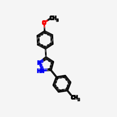 COc1ccc(-c2cc(-c3ccc(C)cc3)[nH]n2)cc1